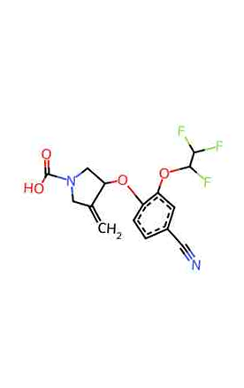 C=C1CN(C(=O)O)CC1Oc1ccc(C#N)cc1OC(F)C(F)F